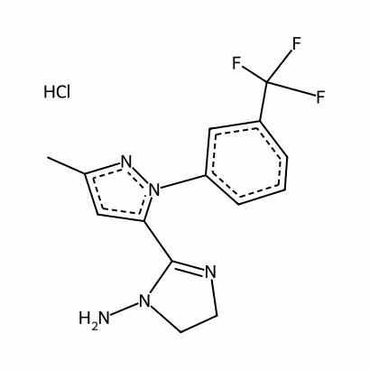 Cc1cc(C2=NCCN2N)n(-c2cccc(C(F)(F)F)c2)n1.Cl